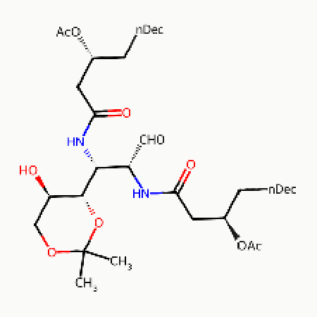 CCCCCCCCCCC[C@H](CC(=O)N[C@@H]([C@@H]1OC(C)(C)OC[C@H]1O)[C@H](C=O)NC(=O)C[C@@H](CCCCCCCCCCC)OC(C)=O)OC(C)=O